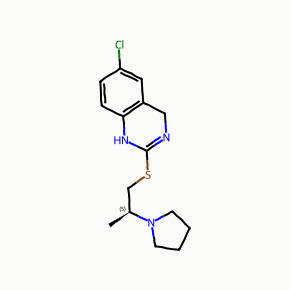 C[C@@H](CSC1=NCc2cc(Cl)ccc2N1)N1CCCC1